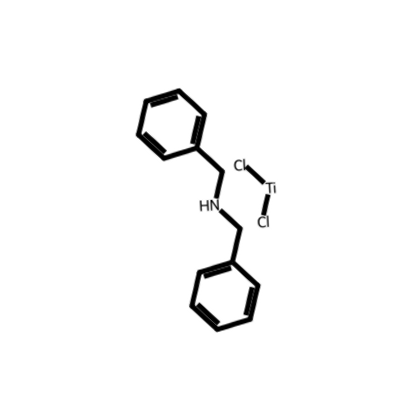 [Cl][Ti][Cl].c1ccc(CNCc2ccccc2)cc1